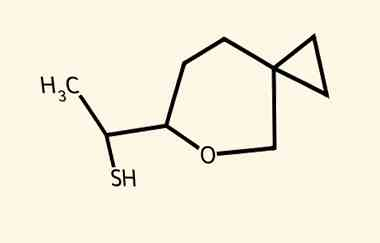 CC(S)C1CCC2(CC2)CO1